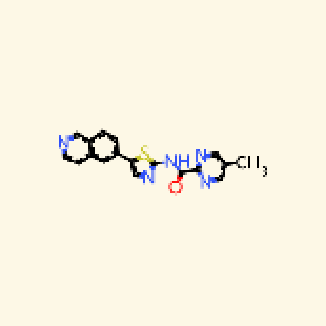 Cc1cnc(C(=O)Nc2ncc(-c3ccc4cnccc4c3)s2)nc1